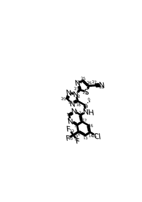 C[C@H](Nc1ncnc2c(C(F)(F)F)cc(Cl)cc12)c1ncnn1-c1ncc(C#N)s1